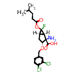 CC(C)CCC(=O)O[C@@]1(F)[C@@H]2C[C@@H](OCc3ccc(Cl)c(Cl)c3)[C@@](N)(C(=O)O)[C@@H]21